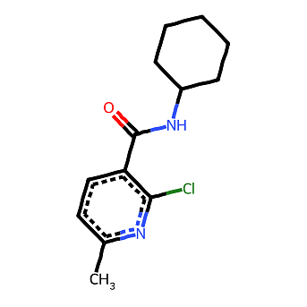 Cc1ccc(C(=O)NC2CCCCC2)c(Cl)n1